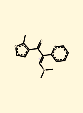 Cc1occc1C(=O)/C(=C/N(C)C)c1ccccn1